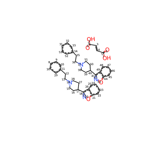 O=C(O)/C=C/C(=O)O.c1ccc(CCN2CCC(c3noc4ccccc34)CC2)cc1.c1ccc(CCN2CCC(c3noc4ccccc34)CC2)cc1